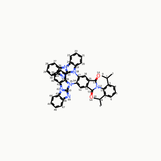 CC(C)c1cccc(C(C)C)c1N1C(=O)c2cc(-n3c4ccccc4n4c5ccccc5nc34)c(-n3c4ccccc4n4c5ccccc5nc34)cc2C1=O